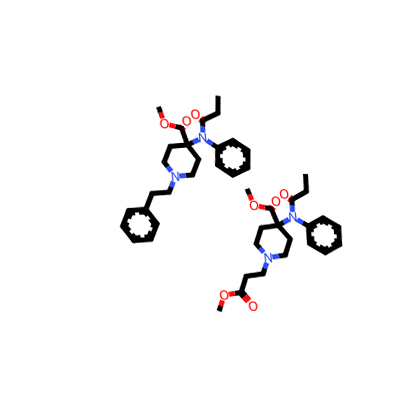 CCC(=O)N(c1ccccc1)C1(C(=O)OC)CCN(CCC(=O)OC)CC1.CCC(=O)N(c1ccccc1)C1(C(=O)OC)CCN(CCc2ccccc2)CC1